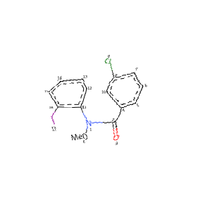 CON(C(=O)c1cccc(Cl)c1)c1ccccc1I